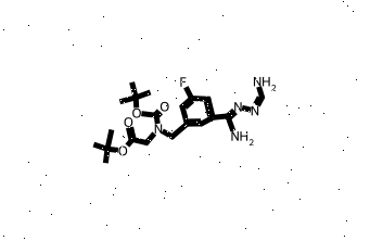 CC(C)(C)OC(=O)CN(Cc1cc(F)cc(/C(N)=N/N=C\N)c1)C(=O)OC(C)(C)C